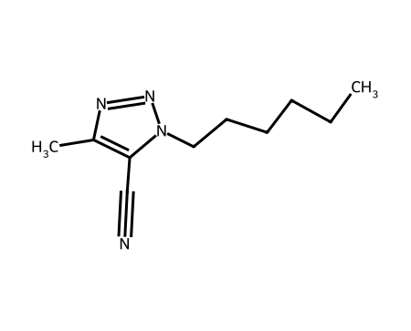 CCCCCCn1nnc(C)c1C#N